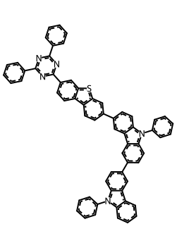 c1ccc(-c2nc(-c3ccccc3)nc(-c3ccc4c(c3)sc3cc(-c5ccc6c(c5)c5cc(-c7ccc8c(c7)c7ccccc7n8-c7ccccc7)ccc5n6-c5ccccc5)ccc34)n2)cc1